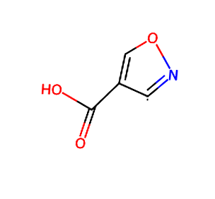 O=C(O)c1[c]noc1